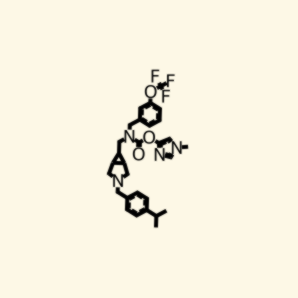 CC(C)c1ccc(CN2CC3C(C2)C3CN(Cc2cccc(OC(F)(F)F)c2)C(=O)Oc2cn(C)cn2)cc1